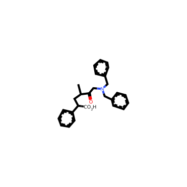 CC(CC(C(=O)O)c1ccccc1)C(=O)CN(Cc1ccccc1)Cc1ccccc1